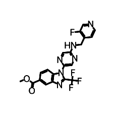 COC(=O)c1ccc2c(c1)nc(C(F)(F)F)n2-c1cnc(NCc2ccncc2F)cn1